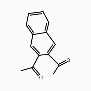 CC(=O)c1cc2ccccc2cc1C(C)=O